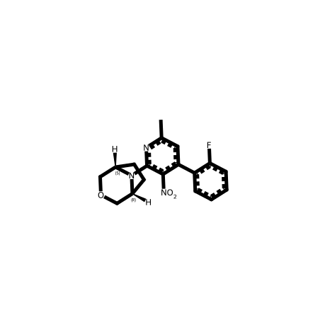 Cc1cc(-c2ccccc2F)c([N+](=O)[O-])c(N2[C@@H]3CC[C@H]2COC3)n1